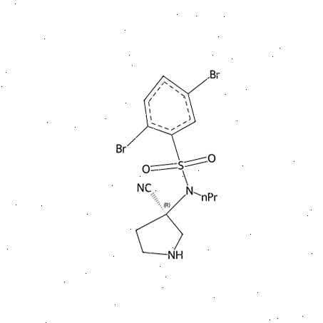 CCCN([C@]1(C#N)CCNC1)S(=O)(=O)c1cc(Br)ccc1Br